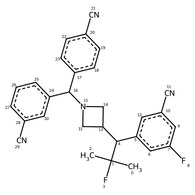 CC(C)(F)C(c1cc(F)cc(C#N)c1)C1CN(C(c2ccc(C#N)cc2)c2cccc(C#N)c2)C1